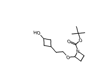 CC(C)(C)OC(=O)N1CCC1OCCC1CC(O)C1